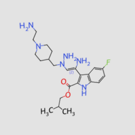 CC(C)COC(=O)c1[nH]c2ccc(F)cc2c1/C(N)=C/N(N)CC1CCN(CCN)CC1